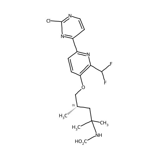 C[C@H](COc1ccc(-c2ccnc(Cl)n2)nc1C(F)F)CC(C)(C)NC(=O)O